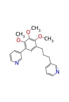 COc1c(CCCc2cccnc2)[c]c(-c2cccnc2)c(OC)c1OC